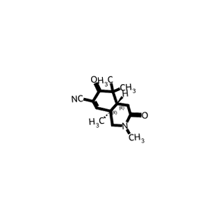 CN1C[C@@]2(C)C=C(C#N)C(=O)C(C)(C)[C@@H]2CC1=O